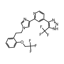 FC(F)(F)COc1ccccc1CCn1cnc(-c2cc(-c3nn[nH]c3C(F)(F)F)ccn2)c1